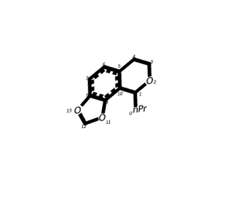 CCCC1OCCc2ccc3c(c21)OCO3